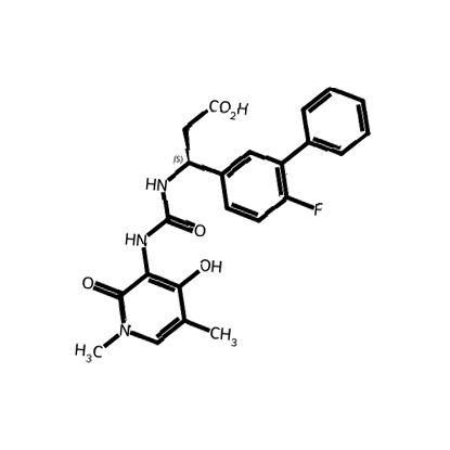 Cc1cn(C)c(=O)c(NC(=O)N[C@@H](CC(=O)O)c2ccc(F)c(-c3ccccc3)c2)c1O